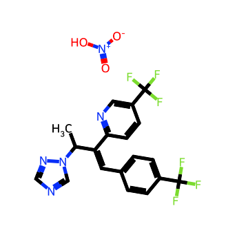 CC(C(=Cc1ccc(C(F)(F)F)cc1)c1ccc(C(F)(F)F)cn1)n1cncn1.O=[N+]([O-])O